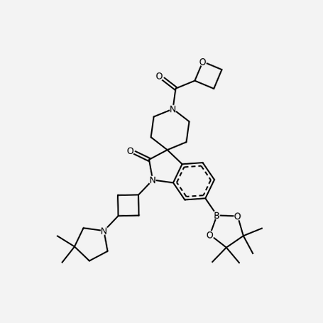 CC1(C)CCN(C2CC(N3C(=O)C4(CCN(C(=O)C5CCO5)CC4)c4ccc(B5OC(C)(C)C(C)(C)O5)cc43)C2)C1